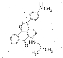 CNc1ccc(Nc2ccc(NCC(C)C)c3c2C(=O)c2ccccc2C3=O)cc1